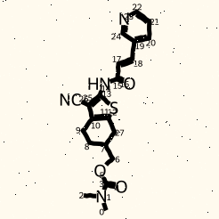 CN(C)C(=O)OCC1CCc2c(sc(NC(=O)C=Cc3cccnc3)c2C#N)C1